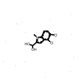 Cn1c(C(O)O)cc2c(Cl)c(Cl)ccc21